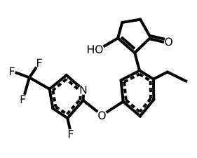 CCc1ccc(Oc2ncc(C(F)(F)F)cc2F)cc1C1=C(O)CCC1=O